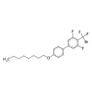 CCCCCCCCOc1ccc(-c2cc(F)c(C(F)(F)Br)c(F)c2)cc1